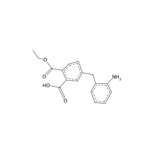 CCOC(=O)c1ccc(Cc2ccccc2N)cc1C(=O)O